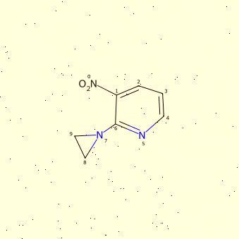 O=[N+]([O-])c1cccnc1N1CC1